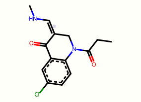 CCC(=O)N1C/C(=C/NC)C(=O)c2cc(Cl)ccc21